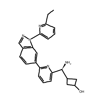 CCc1cccc(-n2ncc3ccc(-c4cccc([C@@H](N)C5CC(O)C5)n4)cc32)n1